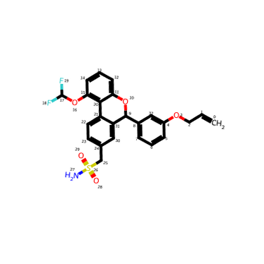 C=CCOc1cccc(C2Oc3cccc(OC(F)F)c3-c3ccc(CS(N)(=O)=O)cc32)c1